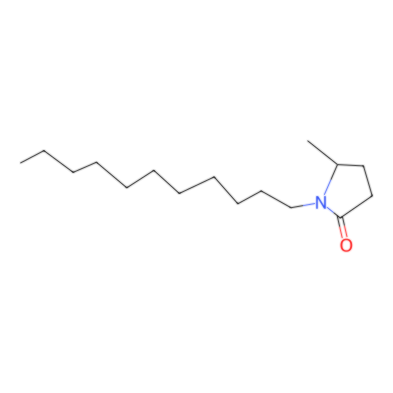 CCCCCCCCCCCN1C(=O)CCC1C